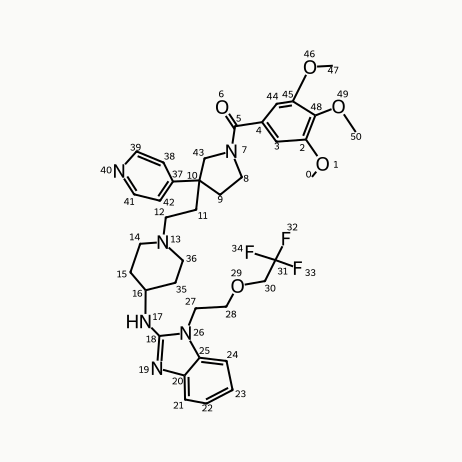 COc1cc(C(=O)N2CCC(CCN3CCC(Nc4nc5ccccc5n4CCOCC(F)(F)F)CC3)(c3ccncc3)C2)cc(OC)c1OC